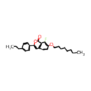 CCCCCCCCOc1ccc2cc(-c3ccc(CCC)cc3)oc(=O)c2c1F